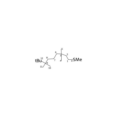 CSCCC(C)(C)CCCC(C)(C)C(C)(C)C